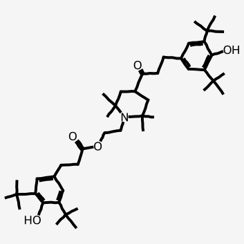 CC(C)(C)c1cc(CCC(=O)OCCN2C(C)(C)CC(C(=O)CCc3cc(C(C)(C)C)c(O)c(C(C)(C)C)c3)CC2(C)C)cc(C(C)(C)C)c1O